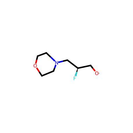 [O]C[C@@H](F)CN1CCOCC1